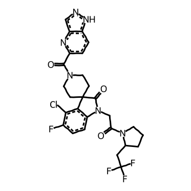 O=C(c1ccc2[nH]ncc2n1)N1CCC2(CC1)C(=O)N(CC(=O)N1CCCC1CC(F)(F)F)c1ccc(F)c(Cl)c12